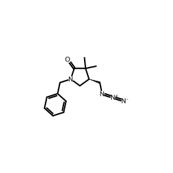 CC1(C)C(=O)N(Cc2ccccc2)C[C@@H]1CN=[N+]=[N-]